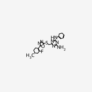 CC1CCC(c2nnc(SCc3nc(N)nc(NC4=CC=CCC4)n3)o2)=C(F)C1